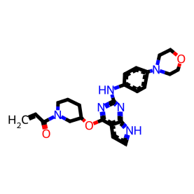 C=CC(=O)N1CCCC(Oc2nc(Nc3ccc(N4CCOCC4)cc3)nc3[nH]ccc23)C1